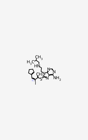 C=C(Sc1nc2c(N)ncnc2n1CCNCC(C)C)/C(I)=C\C1=CCCC1